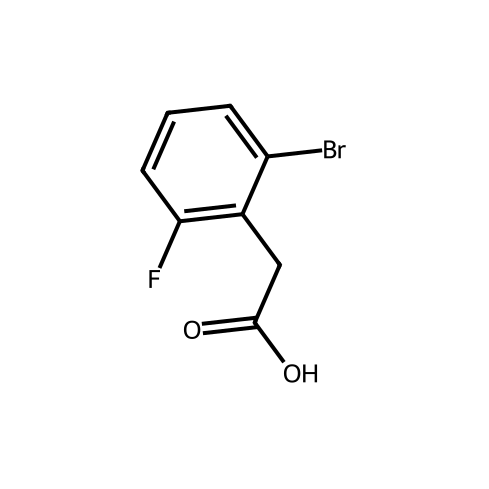 O=C(O)Cc1c(F)cccc1Br